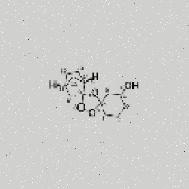 OC1CCCC2(C1)OO[C@]1(C[C@@H]3CC[C@H]1C3)O2